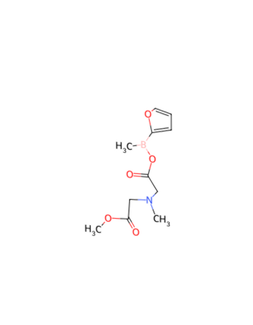 COC(=O)CN(C)CC(=O)OB(C)c1ccco1